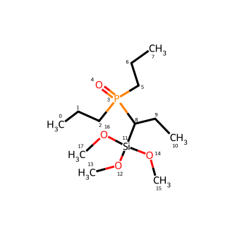 CCCP(=O)(CCC)C(CC)[Si](OC)(OC)OC